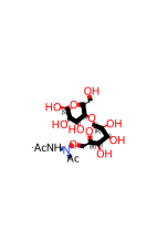 CC(=O)[N]N(OC[C@H]1O[C@@H](O[C@H]2[C@H](O)[C@@H](O)[C@@H](O)O[C@@H]2CO)[C@H](O)[C@@H](O)[C@H]1O)C(C)=O